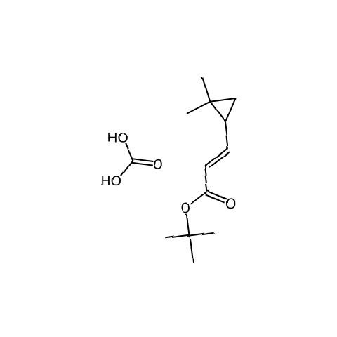 CC(C)(C)OC(=O)C=CC1CC1(C)C.O=C(O)O